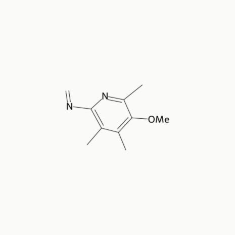 C=Nc1nc(C)c(OC)c(C)c1C